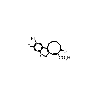 CCc1cc2c(cc1F)OCC1=C2CCCCC(=O)/C(C(=O)O)=C\1